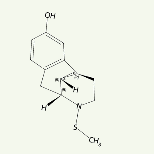 CSN1CC[C@]23CCCC[C@H]2[C@H]1Cc1ccc(O)cc13